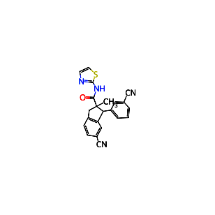 CC1(C(=O)Nc2nccs2)Cc2ccc(C#N)cc2C1c1cccc(C#N)c1